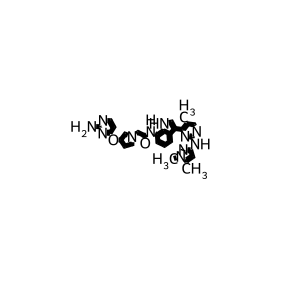 Cc1cnc(Nc2cc(C)n(C)n2)nc1-c1c[nH]c2c(NC(=O)CN3CCC(Oc4ccnc(N)n4)C3)cccc12